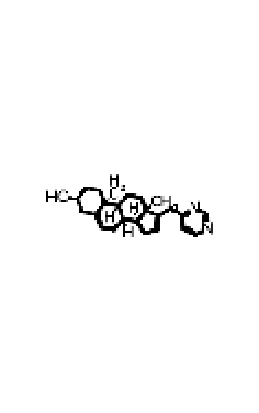 C[C@]12CC[C@H](O)CC1=CC[C@@H]1[C@@H]2CC[C@]2(C)C(Cc3ccncn3)=CC[C@@H]12